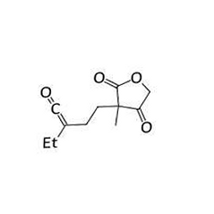 CCC(=C=O)CCC1(C)C(=O)COC1=O